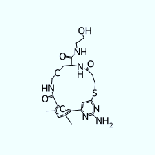 Cc1cc(C)c2cc1C(=O)NCCC[C@@H](C(=O)NCCO)NC(=O)CCSc1cc-2nc(N)n1